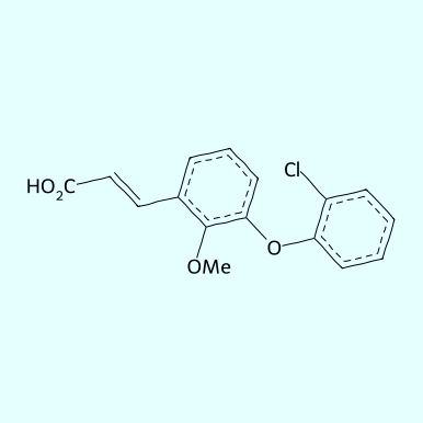 COc1c(/C=C/C(=O)O)cccc1Oc1ccccc1Cl